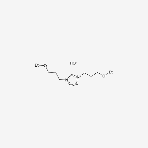 CCOCCCn1cc[n+](CCCOCC)c1.[OH-]